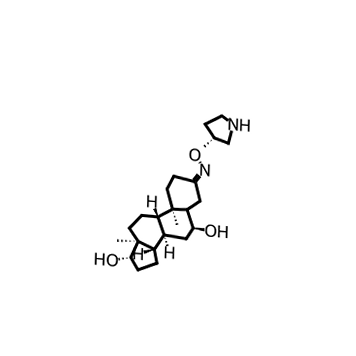 C[C@]12CC[C@H]3[C@@H](C[C@H](O)C4C/C(=N/O[C@@H]5CCNC5)CC[C@@]43C)[C@@H]1CC[C@@H]2O